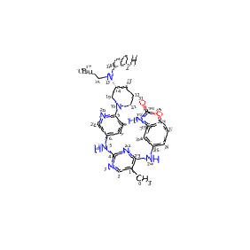 Cc1cnc(Nc2ccc(N3CCC[C@@H](N(CC(C)(C)C)C(=O)O)C3)nc2)nc1Nc1ccc2oc(=O)[nH]c2c1